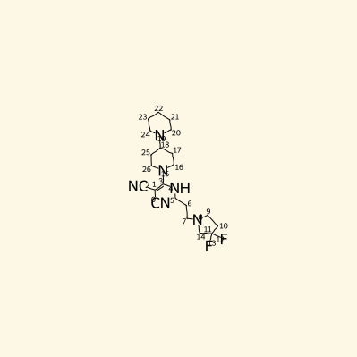 N#CC(C#N)=C(NCCCN1CCC(F)(F)C1)N1CCC(N2CCCCC2)CC1